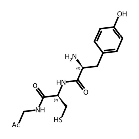 CC(=O)CNC(=O)[C@H](CS)NC(=O)[C@@H](N)Cc1ccc(O)cc1